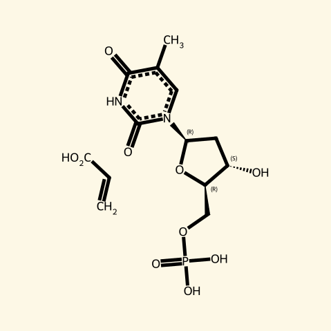 C=CC(=O)O.Cc1cn([C@H]2C[C@H](O)[C@@H](COP(=O)(O)O)O2)c(=O)[nH]c1=O